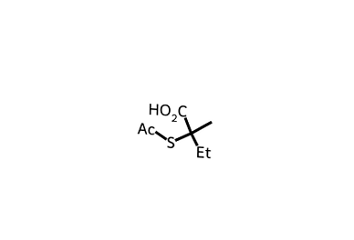 CCC(C)(SC(C)=O)C(=O)O